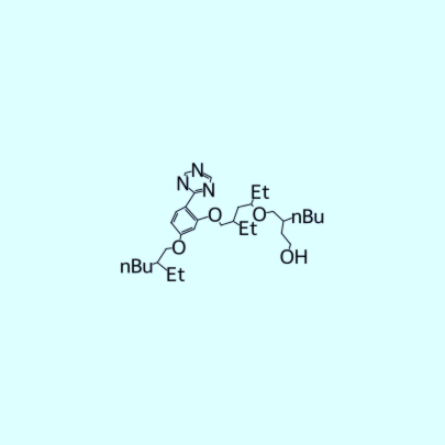 CCCCC(CC)COc1ccc(-c2ncncn2)c(OCC(CC)CC(CC)OCC(CCO)CCCC)c1